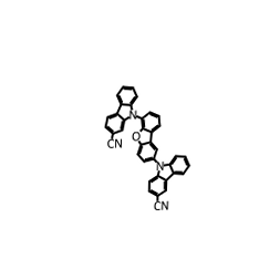 N#Cc1ccc2c(c1)c1ccccc1n2-c1ccc2oc3c(-n4c5ccccc5c5ccc(C#N)cc54)cccc3c2c1